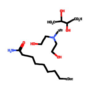 CCCCCCCCCCCCCCCCCC(N)=O.CCCN(CCO)CCO.O=C(O)C(O)C(O)C(=O)O